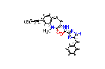 CN1C(=O)[C@H](NC(=O)c2n[nH]c(Cc3ccccc3)n2)CCc2ccc(C#CC(C)(C)C)cc21